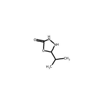 CC(C)C1NNC(=O)O1